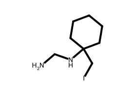 NCNC1(CI)CCCCC1